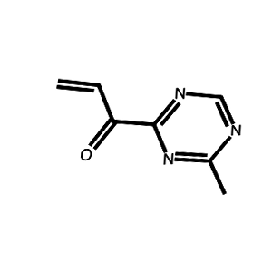 C=CC(=O)c1ncnc(C)n1